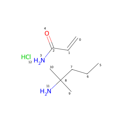 C=CC(N)=O.CCCC(C)(C)N.Cl